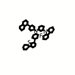 Fc1cccc2c3ccccc3n(-c3cccc(N(c4ccc(-c5cccc6ccccc56)cc4)c4ccc(-c5cccc6c5sc5ccccc56)cc4)c3)c12